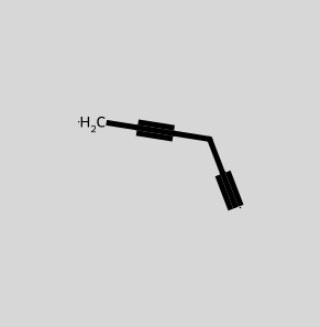 [C]#CCC#C[CH2]